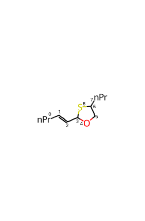 CCCC=CC1OCC(CCC)S1